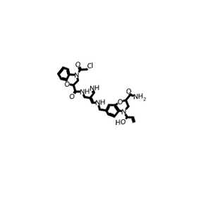 C=CC(O)N1CC(C(N)=O)Oc2cc(CN/C=C(\C=N)CNC(=O)C3CN(C(=O)CCl)c4ccccc4O3)ccc21